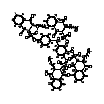 [N-]=[N+]=C1C(=O)c2ccccc2C(=O)C1S(=O)(=O)Oc1ccc(C(=O)c2ccc(OS(=O)(=O)C3C(=O)c4ccccc4C(=O)C3=[N+]=[N-])c(OS(=O)(=O)C3C(=O)c4ccccc4C(=O)C3=[N+]=[N-])c2OS(=O)(=O)C2C(=O)c3ccccc3C(=O)C2=[N+]=[N-])cc1